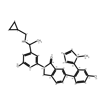 CC(NCC1CC1)c1cc(Cl)nc(N2Cc3ccc(-c4ccc(Cl)cc4-c4nncn4C)cc3C2=O)c1